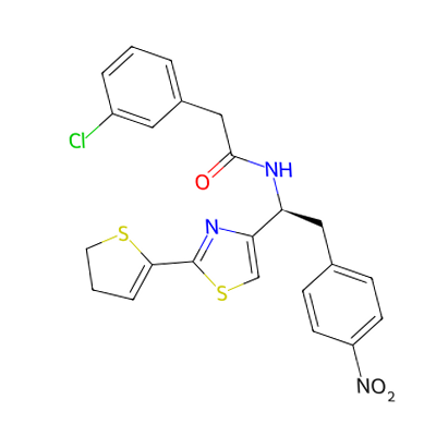 O=C(Cc1cccc(Cl)c1)N[C@@H](Cc1ccc([N+](=O)[O-])cc1)c1csc(C2=CCCS2)n1